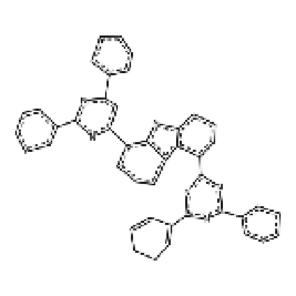 C1=CC(c2nc(-c3ccccc3)nc(-c3cccc4sc5c(-c6cc(-c7ccccc7)nc(-c7ccccc7)n6)cccc5c34)n2)=CCC1